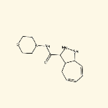 O=C(NN1CCOCC1)C1NNC2C=CC=CCC21